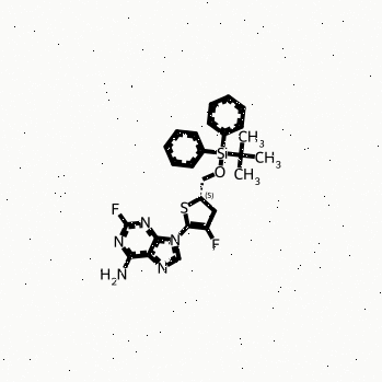 CC(C)(C)[Si](OC[C@@H]1CC(F)=C(n2cnc3c(N)nc(F)nc32)S1)(c1ccccc1)c1ccccc1